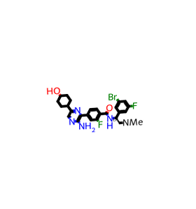 CNC[C@@H](NC(=O)c1ccc(-c2nc(C3CCC(O)CC3)cnc2N)cc1F)c1cc(F)cc(Br)c1